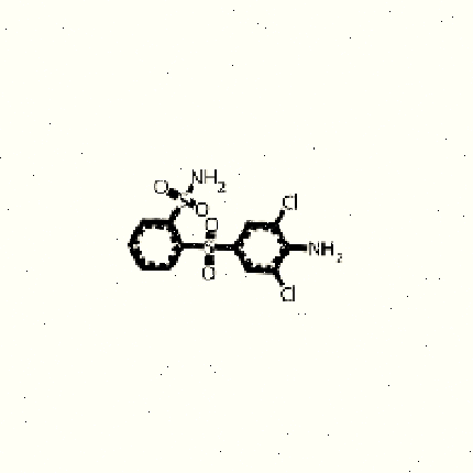 Nc1c(Cl)cc(S(=O)(=O)c2ccccc2S(N)(=O)=O)cc1Cl